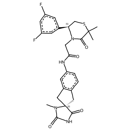 CN1C(=O)NC(=O)[C@@]12Cc1ccc(NC(=O)CN3C(=O)C(C)(C)SC[C@@H]3c3cc(F)cc(F)c3)cc1C2